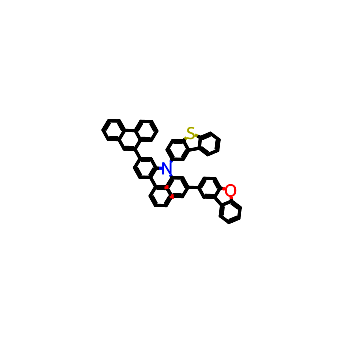 c1ccc(-c2ccc(-c3cc4ccccc4c4ccccc34)cc2N(c2cccc(-c3ccc4oc5ccccc5c4c3)c2)c2ccc3sc4ccccc4c3c2)cc1